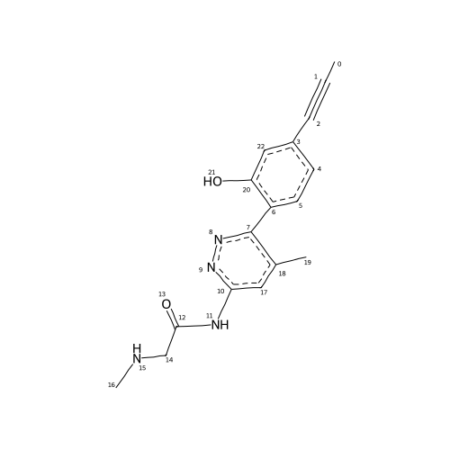 CC#Cc1ccc(-c2nnc(NC(=O)CNC)cc2C)c(O)c1